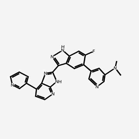 CN(C)c1cncc(-c2cc3c(-c4nc5c(-c6cccnc6)ccnc5[nH]4)n[nH]c3cc2F)c1